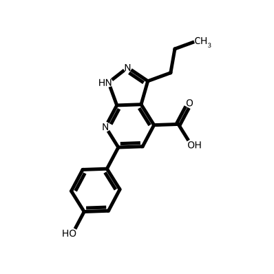 CCCc1n[nH]c2nc(-c3ccc(O)cc3)cc(C(=O)O)c12